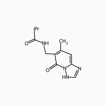 Cc1cc2nc[nH]n2c(=O)c1CNC(=O)C(C)C